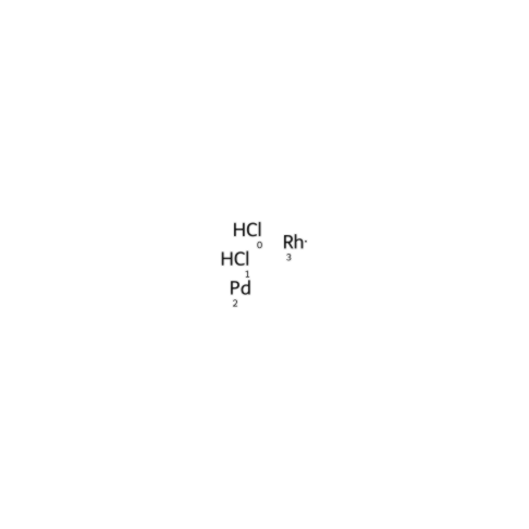 Cl.Cl.[Pd].[Rh]